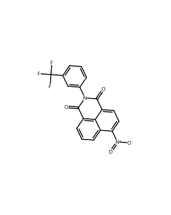 O=C1c2cccc3c([N+](=O)[O-])ccc(c23)C(=O)N1c1cccc(C(F)(F)F)c1